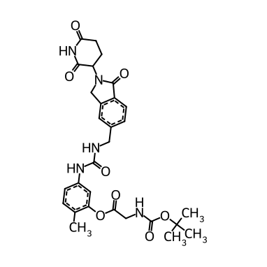 Cc1ccc(NC(=O)NCc2ccc3c(c2)CN(C2CCC(=O)NC2=O)C3=O)cc1OC(=O)CNC(=O)OC(C)(C)C